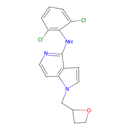 Clc1cccc(Cl)c1Nc1nccc2c1ccn2CC1CCO1